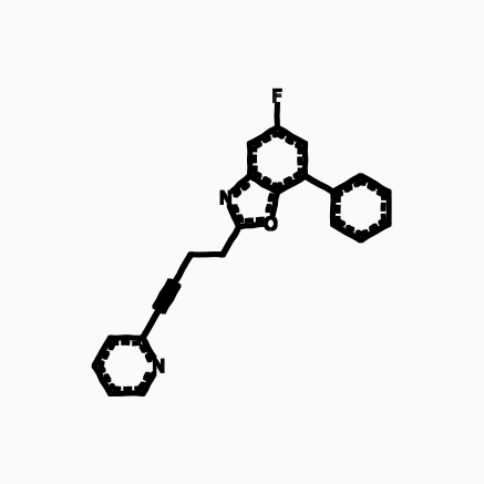 Fc1cc(-c2ccccc2)c2oc(CCC#Cc3ccccn3)nc2c1